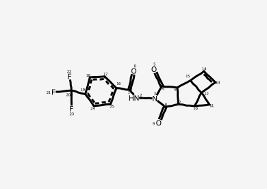 O=C(NN1C(=O)C2C(C1=O)C1CC13C=CC23)c1ccc(C(F)(F)F)cc1